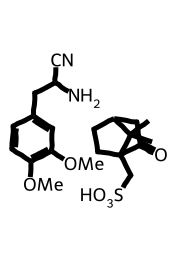 CC1(C)C2CCC1(CS(=O)(=O)O)C(=O)C2.COc1ccc(CC(N)C#N)cc1OC